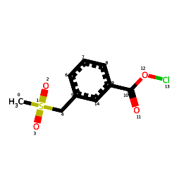 CS(=O)(=O)Cc1cccc(C(=O)OCl)c1